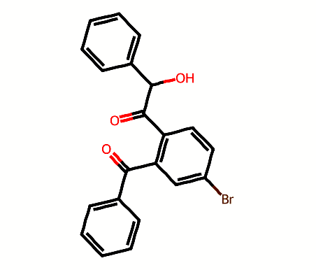 O=C(c1ccccc1)c1cc(Br)ccc1C(=O)C(O)c1ccccc1